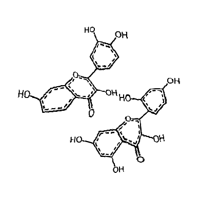 O=c1c(O)c(-c2ccc(O)c(O)c2)oc2cc(O)ccc12.O=c1c(O)c(-c2ccc(O)cc2O)oc2cc(O)cc(O)c12